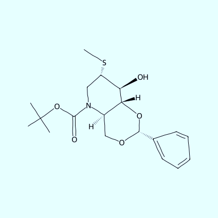 CS[C@H]1CN(C(=O)OC(C)(C)C)[C@@H]2CO[C@@H](c3ccccc3)O[C@H]2[C@@H]1O